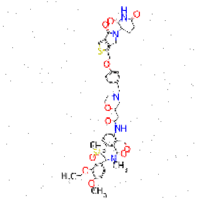 CCOc1cc(C(C[S+](C)[O-])N(C)C(=O)c2cccc(NC(=O)CC3CN(Cc4ccc(OCc5scc6c5CN(C5CCC(=O)NC5=O)C6=O)cc4)CCO3)c2C=O)ccc1OC